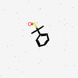 CC(C)([S+]=O)c1ccccc1